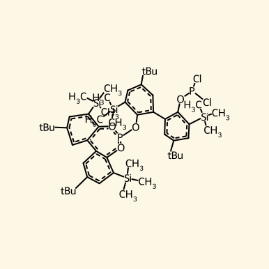 CC(C)(C)c1cc(-c2cc(C(C)(C)C)cc([Si](C)(C)C)c2Op2oc3c([Si](C)(C)C)cc(C(C)(C)C)cc3c3cc(C(C)(C)C)cc([Si](C)(C)C)c3o2)c(OP(Cl)Cl)c([Si](C)(C)C)c1